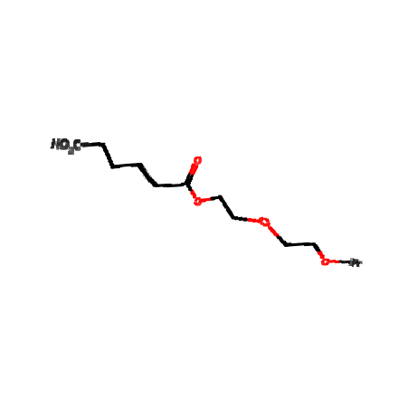 CC(C)OCCOCCOC(=O)CCCCC(=O)O